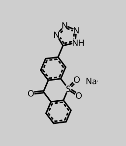 O=C1c2ccccc2S(=O)(=O)c2cc(-c3nnn[nH]3)ccc21.[Na]